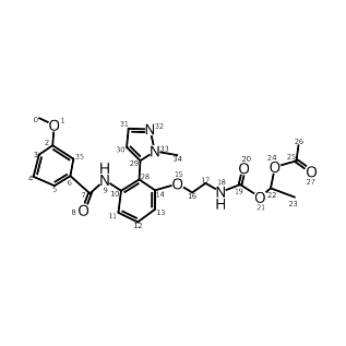 COc1cccc(C(=O)Nc2cccc(OCCNC(=O)OC(C)OC(C)=O)c2-c2ccnn2C)c1